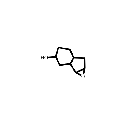 OC1CCC2CC3OC3C2C1